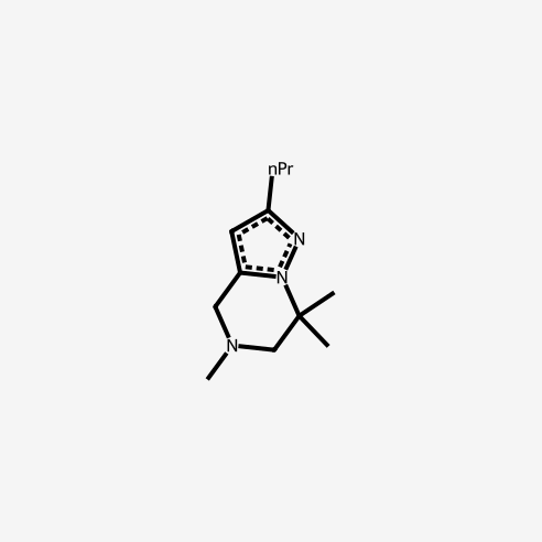 CCCc1cc2n(n1)C(C)(C)CN(C)C2